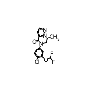 C[C@H]1CN(c2ccc(Cl)c(OC(F)F)c2)C(=O)c2ccnn21